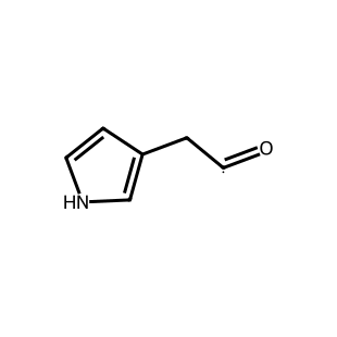 O=[C]Cc1cc[nH]c1